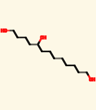 OCCCCCCCCC(O)CCCCO